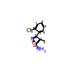 Cc1c(-c2ccccc2Cl)noc1N